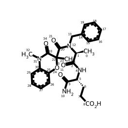 C[C@@H](C(=O)N[C@H](CCC(=O)O)C(N)=O)N(Cc1ccccc1)C(=O)C1(C)Oc2ccccc2N(C)C1=O